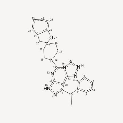 C=C(c1ccccc1)c1n[nH]c2nc(N3CCC4(CC3)Cc3ccccc3O4)n3cnnc3c12